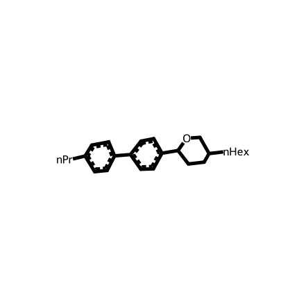 CCCCCCC1CCC(c2ccc(-c3ccc(CCC)cc3)cc2)OC1